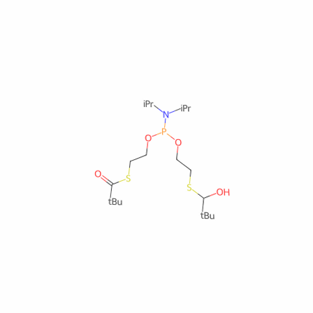 CC(C)N(C(C)C)P(OCCSC(=O)C(C)(C)C)OCCSC(O)C(C)(C)C